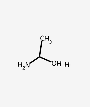 CC(N)O.[H]